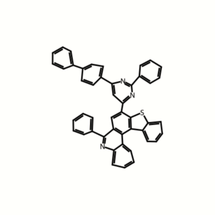 c1ccc(-c2ccc(-c3cc(-c4cc5c(-c6ccccc6)nc6ccccc6c5c5c4sc4ccccc45)nc(-c4ccccc4)n3)cc2)cc1